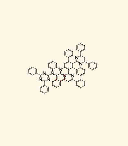 c1ccc(-c2cc(-c3ccccc3)nc(-c3c(-c4ccccc4)cc(N4c5ccccc5N(c5nc(-c6ccccc6)nc(-c6ccccc6)n5)c5ccccc54)c(-c4nc(-c5ccccc5)cc(-c5ccccc5)n4)c3-c3ccccc3)n2)cc1